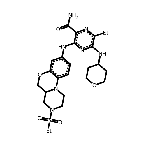 CCc1nc(C(N)=O)c(Nc2ccc3c(c2)OCC2CN(S(=O)(=O)CC)CCN32)nc1NC1CCOCC1